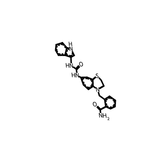 NC(=O)c1ccccc1CN1CCSc2cc(NC(=O)Nc3c[nH]c4ccccc34)ccc21